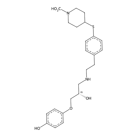 O=C(O)N1CCC(Sc2ccc(CCNC[C@H](O)COc3ccc(O)cc3)cc2)CC1